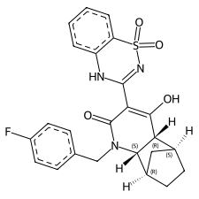 O=C1C(C2=NS(=O)(=O)c3ccccc3N2)=C(O)[C@@H]2[C@H]3CC[C@H](C3)[C@@H]2N1Cc1ccc(F)cc1